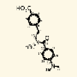 CCCCN(N=Cc1ccc(C(=O)O)cc1)C(=O)c1ccc(N(C)C)cc1